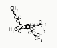 CCCCCOC(=O)OCCN[C@@H](Cc1ccc(OC(=O)OCC(C)C)c(OC(=O)OCC(C)C)c1)C(=O)OC